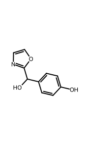 Oc1ccc(C(O)c2ncco2)cc1